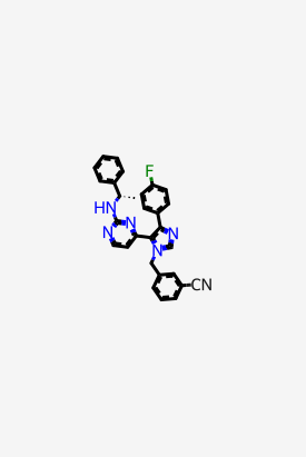 C[C@H](Nc1nccc(-c2c(-c3ccc(F)cc3)ncn2Cc2cccc(C#N)c2)n1)c1ccccc1